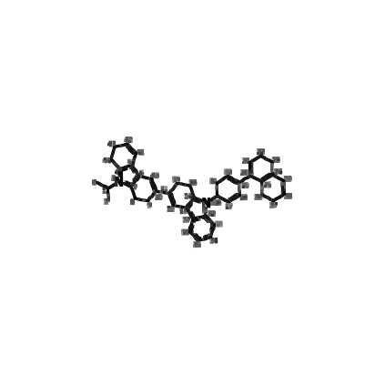 CC(C)n1c2c(c3c1CCC(C1=Cc4c(n(C5C=CC(C6=CCCC7=C6CCC=C7)=CC5)c5ccccc45)CC1)=C3)C=CCC2